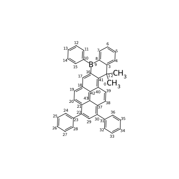 CC1(C)c2ccccc2B(c2ccccc2)c2cc3ccc4c(-c5ccccc5)cc(-c5ccccc5)c5ccc(c21)c3c45